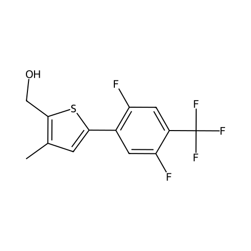 Cc1cc(-c2cc(F)c(C(F)(F)F)cc2F)sc1CO